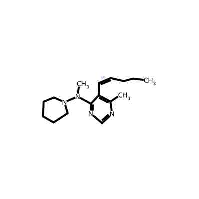 CCC/C=C\c1c(C)ncnc1N(C)N1CCCCC1